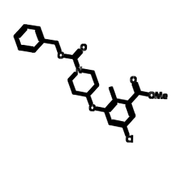 COC(=O)c1cc(Cl)cc(OC2CCN(C(=O)OCc3ccccc3)CC2)c1C